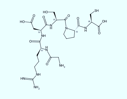 N=C(N)NCCC[C@H](NC(=O)CN)C(=O)N[C@@H](CC(=O)O)C(=O)N[C@@H](CO)C(=O)N1CCC[C@H]1C(=O)N[C@@H](CS)C(=O)O